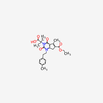 CCOC(=O)C1=C(C)c2c(n(CCc3ccc(C)cc3)c(=O)n(C(C)(C)C(=O)O)c2=O)C1